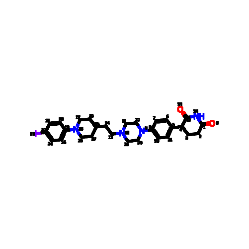 O=C1CCC(c2ccc(N3CCN(CCC4CCN(c5ccc(I)cc5)CC4)CC3)cc2)C(=O)N1